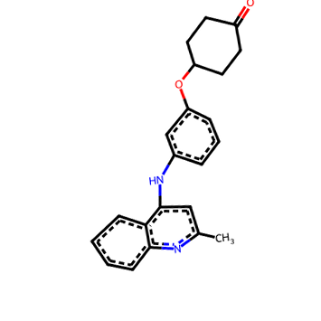 Cc1cc(Nc2cccc(OC3CCC(=O)CC3)c2)c2ccccc2n1